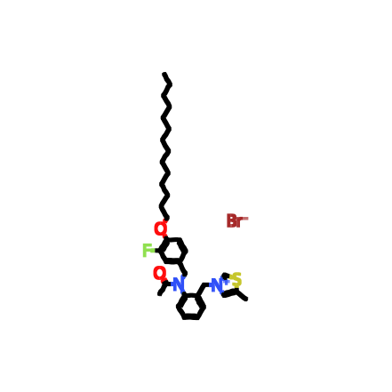 CCCCCCCCCCCCCCOc1ccc(CN(C(C)=O)c2ccccc2C[n+]2csc(C)c2)cc1F.[Br-]